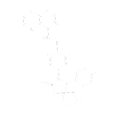 O=C(Nc1cccc2cccnc12)c1ccc(N2C(=O)OC3(CCCC3)C2c2ccccc2)cc1